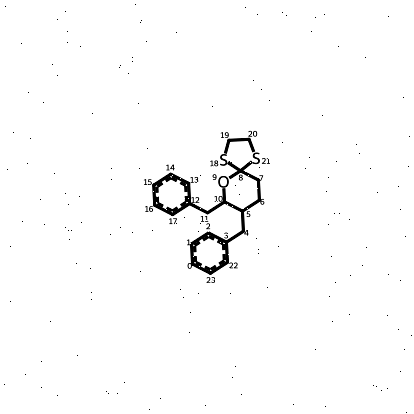 c1ccc(CC2CCC3(OC2Cc2ccccc2)SCCS3)cc1